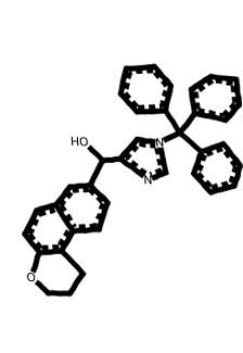 OC(c1ccc2c3c(ccc2c1)OCCC3)c1cn(C(c2ccccc2)(c2ccccc2)c2ccccc2)cn1